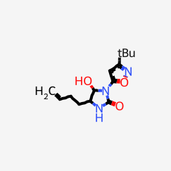 C=CCCC1NC(=O)N(c2cc(C(C)(C)C)no2)C1O